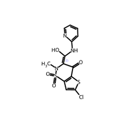 CN1/C(=C(\O)Nc2ccccn2)C(=O)c2sc(Cl)cc2S1(=O)=O